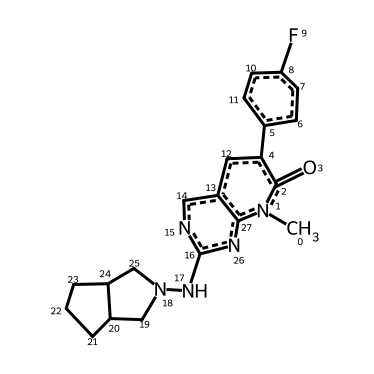 Cn1c(=O)c(-c2ccc(F)cc2)cc2cnc(NN3CC4CCCC4C3)nc21